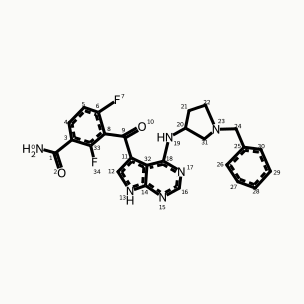 NC(=O)c1ccc(F)c(C(=O)c2c[nH]c3ncnc(NC4CCN(Cc5ccccc5)C4)c23)c1F